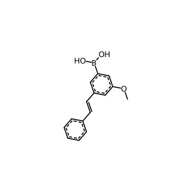 COc1cc(/C=C/c2ccccc2)cc(B(O)O)c1